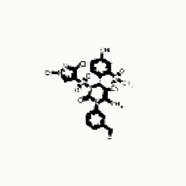 CCn1cc(S(=O)(=O)N2C(=O)N(c3cccc(CF)c3)C(C)=C(C#N)[C@H]2c2ccc(C#N)cc2S(C)(=O)=O)c(C)n1